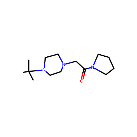 CC(C)(C)N1CCN(CC(=O)N2CCCC2)CC1